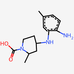 Cc1ccc(N)c(NC2CCN(C(=O)O)C(C)C2)c1